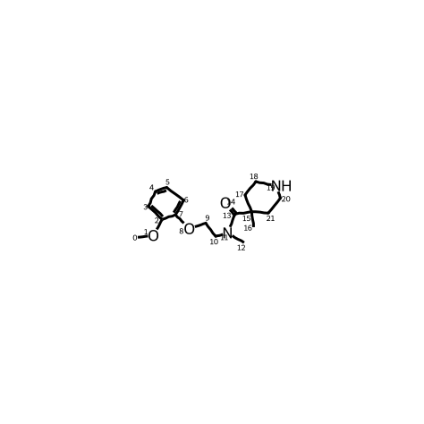 COc1ccccc1OCCN(C)C(=O)C1(C)CCNCC1